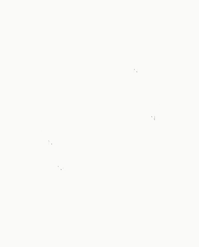 CC1C=CC(n2c3ccccc3c3c(C#N)cccc32)=C(c2ccc(-c3ccc(N4c5ccccc5C5C=CC=CC54)c(C#N)c3)cc2)C1